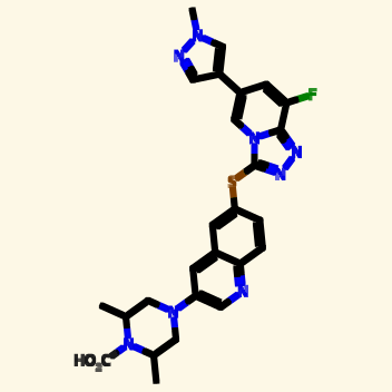 CC1CN(c2cnc3ccc(Sc4nnc5c(F)cc(-c6cnn(C)c6)cn45)cc3c2)CC(C)N1C(=O)O